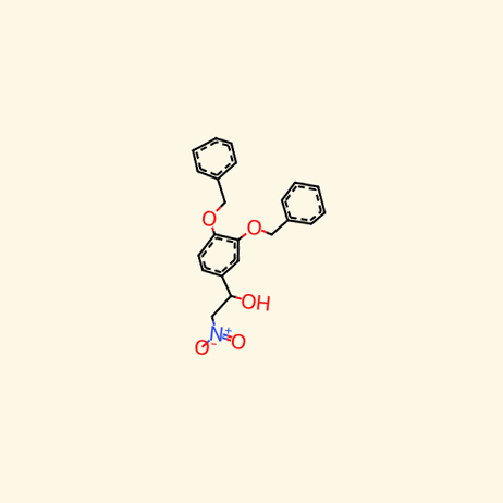 O=[N+]([O-])CC(O)c1ccc(OCc2ccccc2)c(OCc2ccccc2)c1